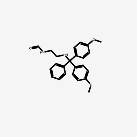 COc1ccc(C(NCCNC=O)(c2ccccc2)c2ccc(OC)cc2)cc1